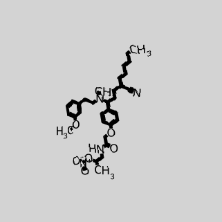 CCCCCCC(C#N)CCC(c1ccc(OCC(=O)NCC(C)O[N+](=O)[O-])cc1)N(C)CCc1cccc(OC)c1